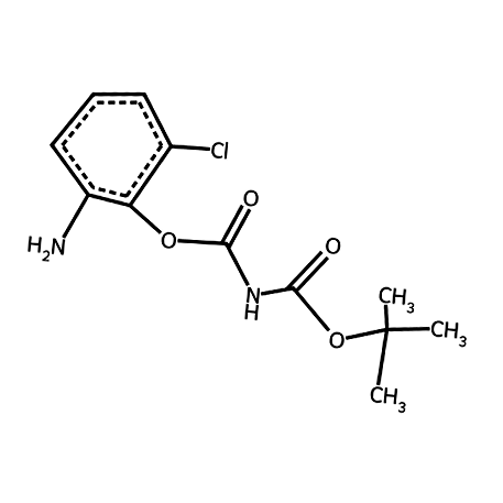 CC(C)(C)OC(=O)NC(=O)Oc1c(N)cccc1Cl